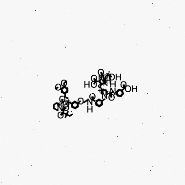 CCC(C)(C)C(=O)C(=O)N1CCCC[C@H]1C(=O)O[C@H](CCc1ccc(OC)c(OC)c1)c1cccc(OCCNC(=O)c2cccc(CN3C[C@@H](SC4=C(C(=O)O)N5C(=O)[C@H]([C@@H](C)O)[C@H]5[C@H]4C)C[C@H]3C(=O)Nc3cccc(C(=O)O)c3)c2)c1